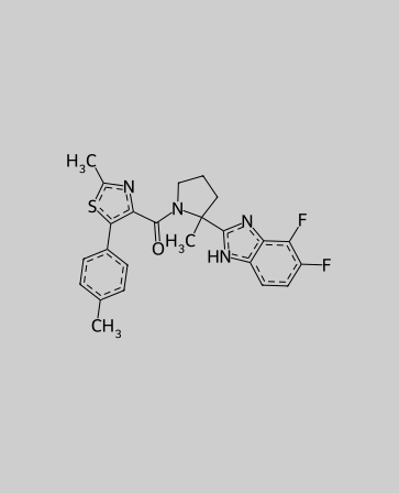 Cc1ccc(-c2sc(C)nc2C(=O)N2CCCC2(C)c2nc3c(F)c(F)ccc3[nH]2)cc1